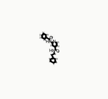 O=C(NCCc1ccccc1)c1ccnc(NC(=O)c2ccccc2)c1